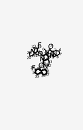 CN1C(=O)C2C3CCC(CN2c2c4c(nc(OC[C@@]56CCCN5C[C@H](F)C6)c21)CN(c1cccc2ccc(F)c(Cl)c12)CC4)N3